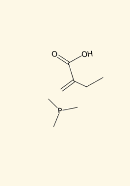 C=C(CC)C(=O)O.CP(C)C